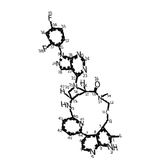 Cc1[nH]c2nccc3c2c1CCCN(C)C(=O)[C@@H]1C[C@@H](CN1c1ncnc2c1cnn2-c1ccc(F)cc1F)Nc1cccc-3n1